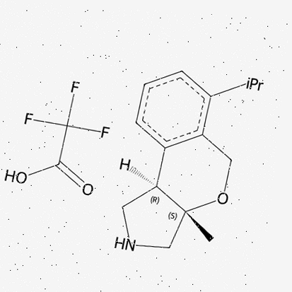 CC(C)c1cccc2c1CO[C@]1(C)CNC[C@@H]21.O=C(O)C(F)(F)F